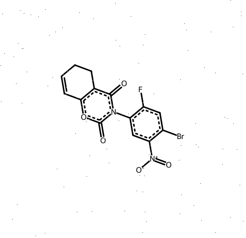 O=c1oc2c(c(=O)n1-c1cc([N+](=O)[O-])c(Br)cc1F)CCC=C2